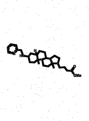 COC(=O)CCCC1CCC2C3CC[C@H]4CC(NCc5ccccn5)CCC4(C)C3CCC12C